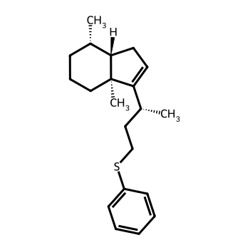 C[C@H](CCSc1ccccc1)C1=CC[C@H]2[C@@H](C)CCC[C@]12C